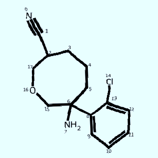 N#CC1CCCC(N)(c2ccccc2Cl)COC1